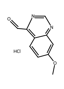 COc1ccc2c(C=O)ncnc2c1.Cl